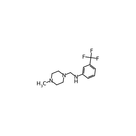 CN1CCN(CNc2cccc(C(F)(F)F)c2)CC1